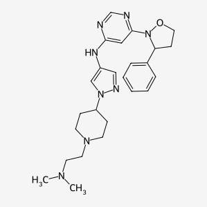 CN(C)CCN1CCC(n2cc(Nc3cc(N4OCCC4c4ccccc4)ncn3)cn2)CC1